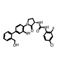 CC(C)c1cc(-c2ccccc2CO)ccc1N1CC[C@@H](NC(=O)Nc2ccc(Cl)cc2F)C1=O